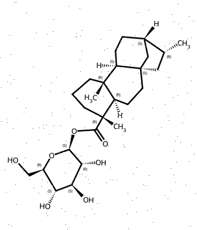 C[C@@H]1C[C@]23CC[C@@H]4[C@](C)(CCC[C@@]4(C)C(=O)O[C@@H]4O[C@H](CO)[C@@H](O)[C@H](O)[C@H]4O)[C@H]2CC[C@H]1C3